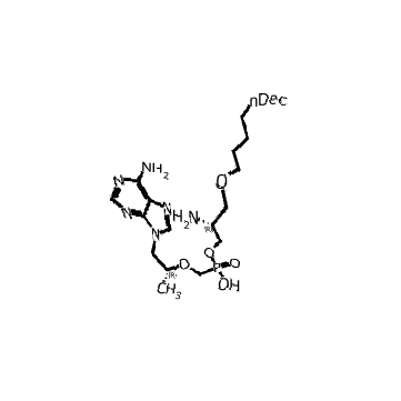 CCCCCCCCCCCCCCOC[C@@H](N)COP(=O)(O)CO[C@H](C)Cn1cnc2c(N)ncnc21